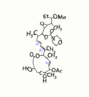 CCC(OC)C(C)C1OC1C(OC(=O)N1CCOCC1)C(C)/C=C/C=C(\C)C1OC(=O)CC(O)CCC(C)(O)C(OC(C)=O)/C=C/C1C